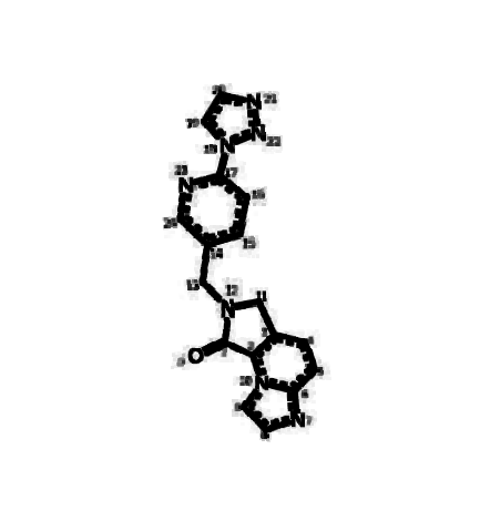 O=C1c2c(ccc3nccn23)CN1Cc1ccc(-n2ccnn2)nc1